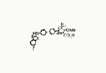 CO[C@@H](C)[C@H](NC(=O)c1ccc(-c2ccc(Nc3nc4ccc(F)cc4s3)cc2)cc1)C(=O)O